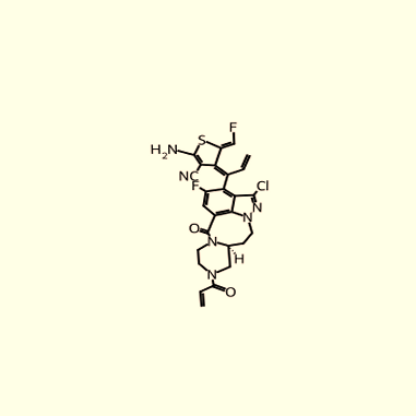 C=CC(=O)N1CCN2C(=O)c3cc(F)c(/C(C=C)=c4\c(C#N)c(N)s\c4=C/F)c4c(Cl)nn(c34)CC[C@H]2C1